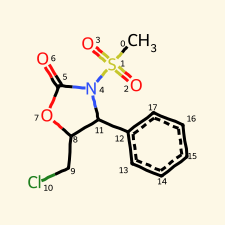 CS(=O)(=O)N1C(=O)OC(CCl)C1c1ccccc1